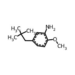 COc1ccc(CC(C)(C)C)cc1N